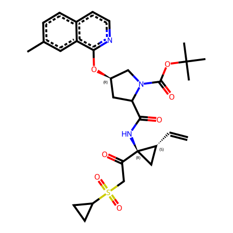 C=C[C@@H]1C[C@]1(NC(=O)C1C[C@@H](Oc2nccc3ccc(C)cc23)CN1C(=O)OC(C)(C)C)C(=O)CS(=O)(=O)C1CC1